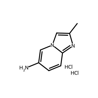 Cc1cn2cc(N)ccc2n1.Cl.Cl